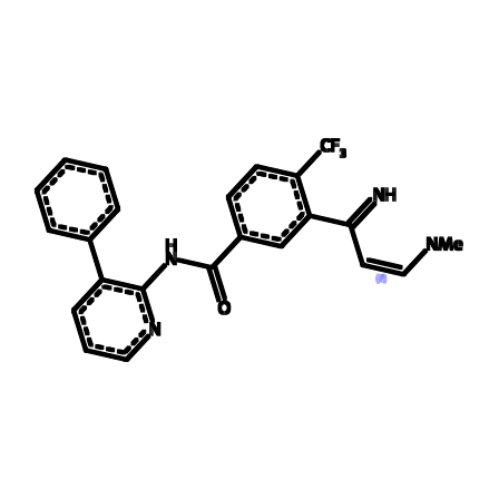 CN/C=C\C(=N)c1cc(C(=O)Nc2ncccc2-c2ccccc2)ccc1C(F)(F)F